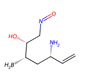 B[C@@H](C[C@H](N)C=C)[C@H](O)CN=O